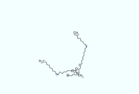 CCCCCCCC/C=C\CCCCCCCCOCC(C[N+](C)(C)CCCBr)OCCCCCCCC/C=C\CCCCCCCC